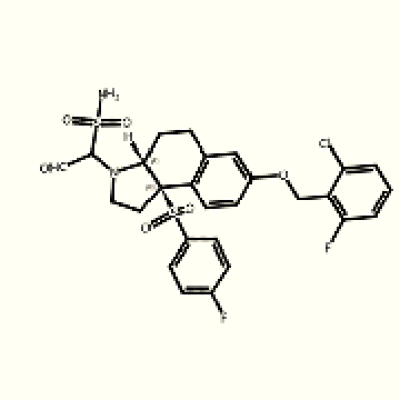 NS(=O)(=O)C(C=O)N1CC[C@@]2(S(=O)(=O)c3ccc(F)cc3)c3ccc(OCc4c(F)cccc4Cl)cc3CC[C@@H]12